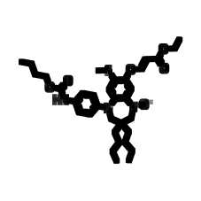 CCCCOC(=O)Nc1ccc(N2CC(CCCC)(CCCC)C[S+]([O-])c3cc(O/C=C/C(=O)OCC)c(SC)cc32)cc1